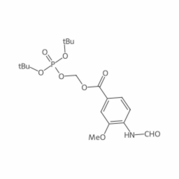 COc1cc(C(=O)OCOP(=O)(OC(C)(C)C)OC(C)(C)C)ccc1NC=O